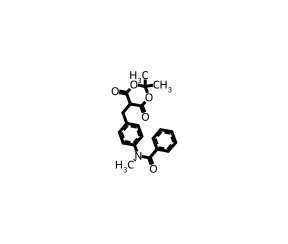 CN(C(=O)c1ccccc1)c1ccc(CC2C(=O)OC(C)(C)OC2=O)cc1